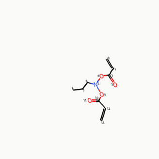 C=CC(=O)ON(CCC)OC(=O)C=C